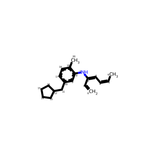 C=C/C(=C\C=C/C)Nc1cc(CC2CCCC2)ccc1C